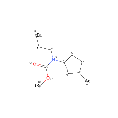 CC(=O)C1CCC(N(CCC(C)(C)C)C(=O)OC(C)(C)C)C1